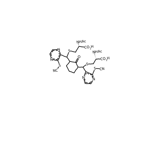 CC(=O)N[C@@H](CSC(c1nccnc1SC#N)C1CCCC(C(SC[C@H](NC(C)=O)C(=O)O)c2nccnc2SC#N)C1=O)C(=O)O